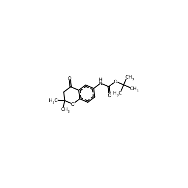 CC(C)(C)OC(=O)Nc1ccc2c(c1)C(=O)CC(C)(C)O2